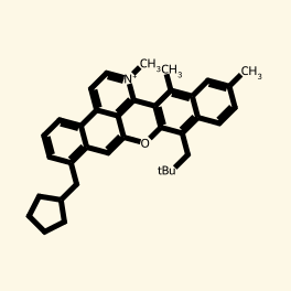 Cc1ccc2c(CC(C)(C)C)c3c(c(C)c2c1)-c1c2c(cc4c(CC5CCCC5)cccc4c2cc[n+]1C)O3